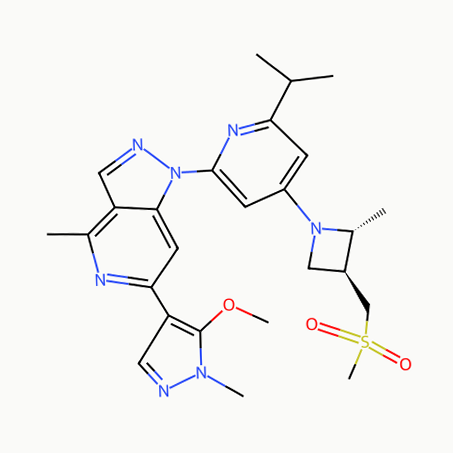 COc1c(-c2cc3c(cnn3-c3cc(N4C[C@H](CS(C)(=O)=O)[C@H]4C)cc(C(C)C)n3)c(C)n2)cnn1C